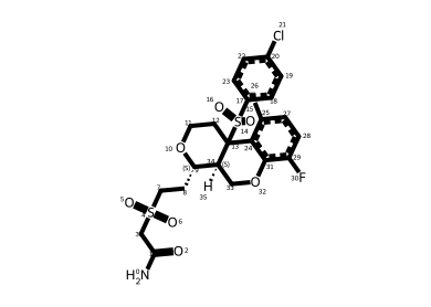 NC(=O)CS(=O)(=O)CC[C@@H]1OCCC2(S(=O)(=O)c3ccc(Cl)cc3)c3c(F)ccc(F)c3OC[C@@H]12